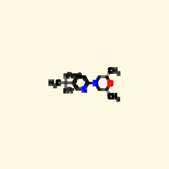 CCCCCC(C)(CCC)c1ccc(N2C[C@@H](C)O[C@@H](C)C2)nc1